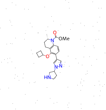 COC(=O)N1c2ccc(-c3cnn(C4CCNC4)c3)c(OC3CCC3)c2CC[C@@H]1C